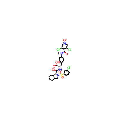 O=C(Nc1ccc(C[C@H](NC(=O)C2C3CCCCC3CN2S(=O)(=O)c2cccc(Cl)c2)C(=O)O)cc1)c1c(Cl)c[n+]([O-])cc1Cl